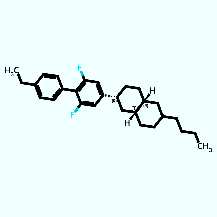 CCCCC1CC[C@@H]2C[C@H](c3cc(F)c(-c4ccc(CC)cc4)c(F)c3)CC[C@@H]2C1